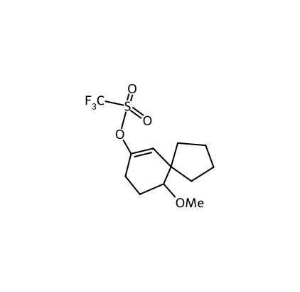 COC1CCC(OS(=O)(=O)C(F)(F)F)=CC12CCCC2